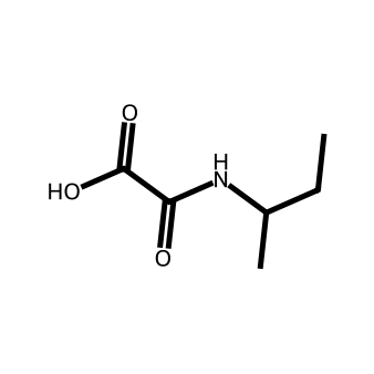 CCC(C)NC(=O)C(=O)O